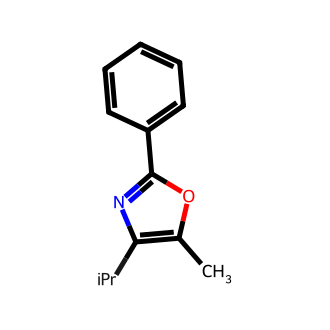 Cc1oc(-c2ccccc2)nc1C(C)C